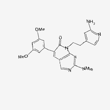 CNc1ncc2cc(-c3cc(OC)cc(OC)c3)c(=O)n(CCc3ccnc(N)c3)c2n1